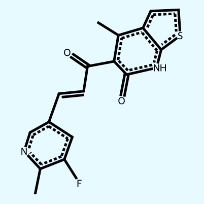 Cc1ncc(C=CC(=O)c2c(C)c3ccsc3[nH]c2=O)cc1F